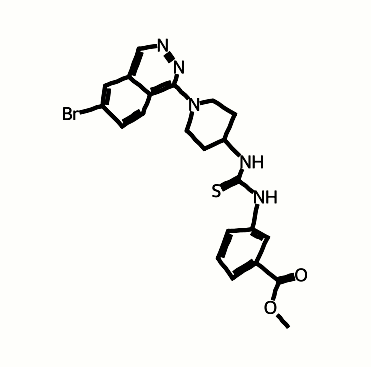 COC(=O)c1cccc(NC(=S)NC2CCN(c3nncc4cc(Br)ccc34)CC2)c1